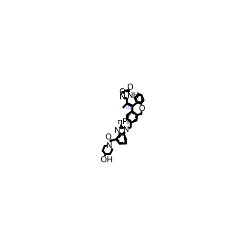 CCCc1nc2c(C(=O)N3CCC(O)CC3)cccc2n1Cc1ccc2c(c1)COc1ccccc1/C2=C(/C)c1noc(=O)[nH]1